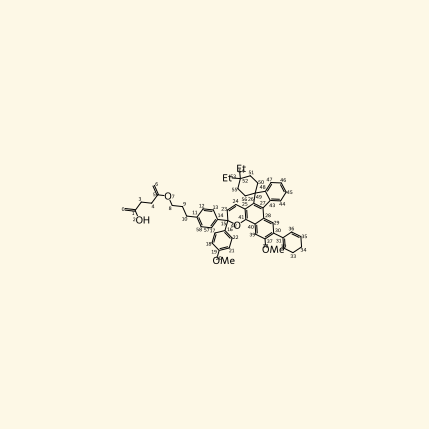 C=C(O)CCC(=C)OCCCc1ccc(C2(c3ccc(OC)cc3)C=Cc3c4c(c5cc(C6=CCCC=C6)c(OC)cc5c3O2)-c2ccccc2C42CCC(CC)(CC)CC2)cc1